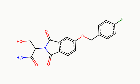 NC(=O)C(CO)N1C(=O)c2ccc(OCc3ccc(F)cc3)cc2C1=O